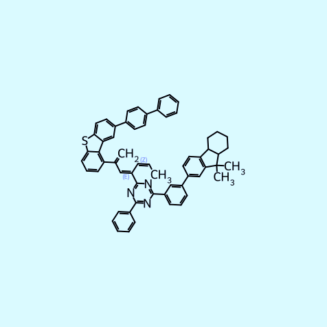 C=C(/C=C(\C=C/C)c1nc(-c2ccccc2)nc(-c2cccc(-c3ccc4c(c3)C(C)(C)C3CCCCC43)c2)n1)c1cccc2sc3ccc(-c4ccc(-c5ccccc5)cc4)cc3c12